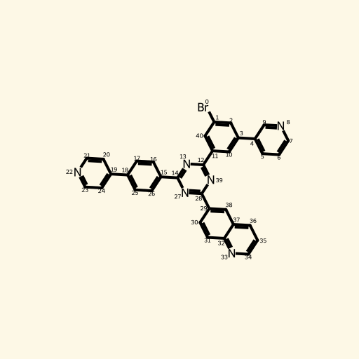 Brc1cc(-c2cccnc2)cc(-c2nc(-c3ccc(-c4ccncc4)cc3)nc(-c3ccc4ncccc4c3)n2)c1